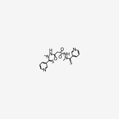 CN(NC(=O)CS(=O)(=O)NN(C)C(=S)c1cccnc1)C(=S)c1cccnc1